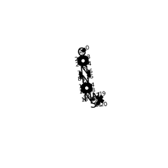 COc1ccc(N2CCN(c3ccc(N(C)C4=NC(C)(C)CS4)cc3)CC2)cc1